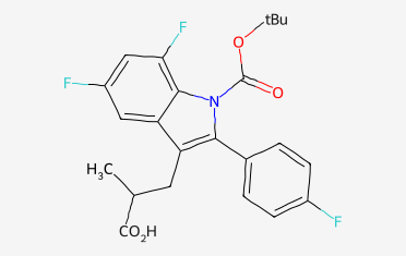 CC(Cc1c(-c2ccc(F)cc2)n(C(=O)OC(C)(C)C)c2c(F)cc(F)cc12)C(=O)O